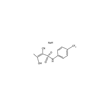 CC(O)=C(C#N)S(=O)(=O)Nc1ccc(C(F)(F)F)cc1.[NaH]